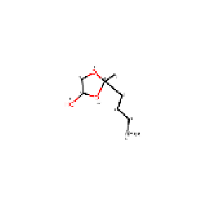 CCCCCCCCCC1(C)OCC(O)O1